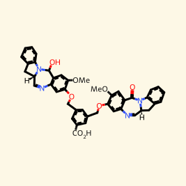 COc1cc2c(cc1OCc1cc(COc3cc4c(cc3OC)C(O)N3c5ccccc5C[C@H]3C=N4)cc(C(=O)O)c1)N=C[C@@H]1Cc3ccccc3N1C2=O